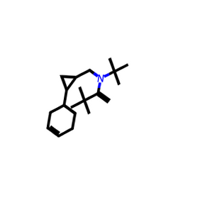 C=C(N(CC1CC1C1CC=CCC1)C(C)(C)C)C(C)(C)C